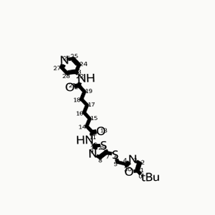 CC(C)(C)c1cnc(CSc2cnc(NC(=O)CCCCCCC(=O)Nc3ccncc3)s2)o1